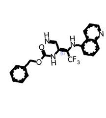 N=C/C(NC(=O)OCc1ccccc1)=C(\Nc1cccc2ncccc12)C(F)(F)F